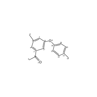 CC(=O)c1cc(C)cc(Oc2ccc(C)cc2)c1